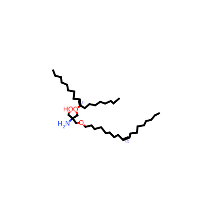 CCCCCCCC/C=C\CCCCCCCCOCC(N)(CO)CO/C(=C\CCCCCCCC)CCCCCCCC